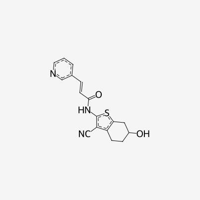 N#Cc1c(NC(=O)C=Cc2cccnc2)sc2c1CCC(O)C2